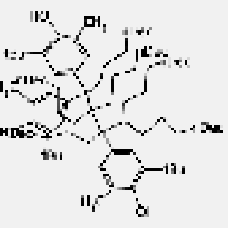 CCCCCCCCCCCCCC(CCCCCCCCCCCCC)C(CCCCCCCCCCCCC)(c1cc(C)c(O)c(C(C)(C)C)c1)C(CCCCCCCCCCCCC)(CCCCCCCCCCCCC)C(CCCCCCCCCCCCC)(c1cc(C)c(O)c(C(C)(C)C)c1)c1cc(C)c(O)c(C(C)(C)C)c1